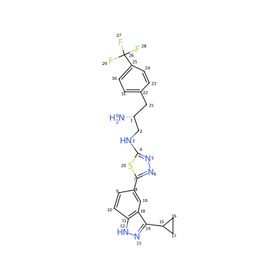 N[C@@H](CNc1nnc(-c2ccc3[nH]nc(C4CC4)c3c2)s1)Cc1ccc(C(F)(F)F)cc1